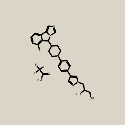 O=C(O)C(F)(F)F.OCC(O)Cn1cc(-c2ccc(N3CCC(C4c5c(F)cccc5-c5cncn54)CC3)cc2)cn1